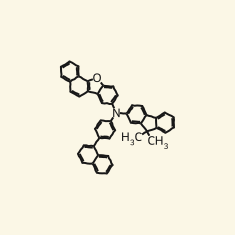 CC1(C)c2ccccc2-c2ccc(N(c3ccc(-c4cccc5ccccc45)cc3)c3ccc4oc5c6ccccc6ccc5c4c3)cc21